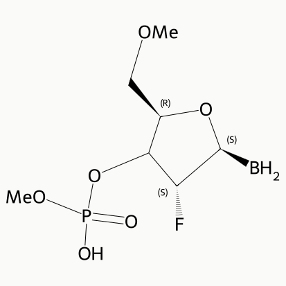 B[C@@H]1O[C@H](COC)C(OP(=O)(O)OC)[C@H]1F